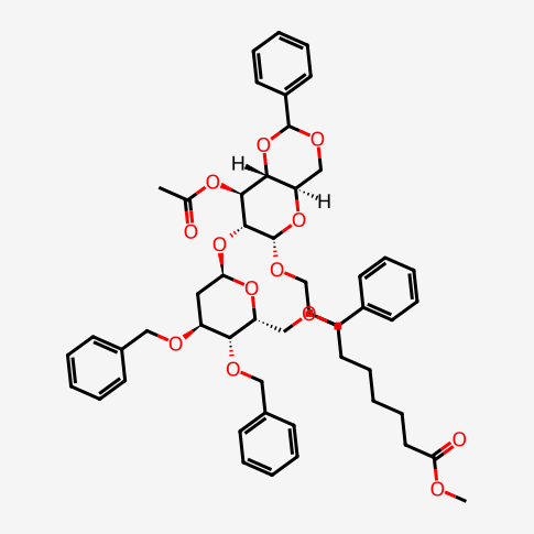 COC(=O)CCCCCCCCO[C@H]1O[C@@H]2COC(c3ccccc3)O[C@H]2[C@H](OC(C)=O)[C@H]1O[C@@H]1C[C@H](OCc2ccccc2)[C@@H](OCc2ccccc2)[C@@H](COCc2ccccc2)O1